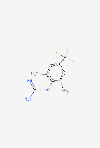 Cc1cc(C(F)(F)F)cc(C)c1NC(=N)N